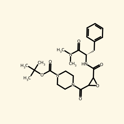 CN(C)C(=O)[C@H](Cc1ccccc1)NC(=O)C1OC1C(=O)N1CCN(C(=O)OC(C)(C)C)CC1